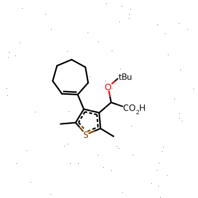 Cc1sc(C)c(C(OC(C)(C)C)C(=O)O)c1C1=CCCCCC1